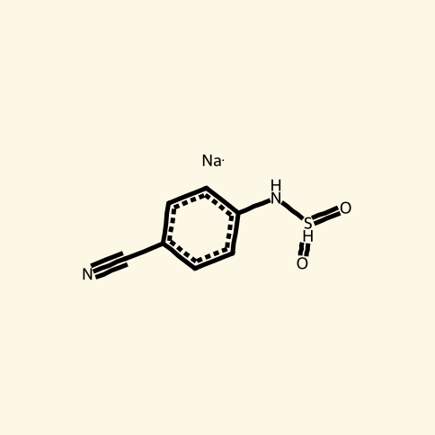 N#Cc1ccc(N[SH](=O)=O)cc1.[Na]